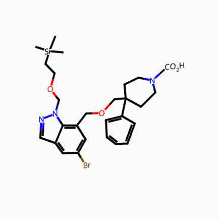 C[Si](C)(C)CCOCn1ncc2cc(Br)cc(COCC3(c4ccccc4)CCN(C(=O)O)CC3)c21